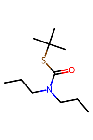 CCCN(CCC)C(=O)SC(C)(C)C